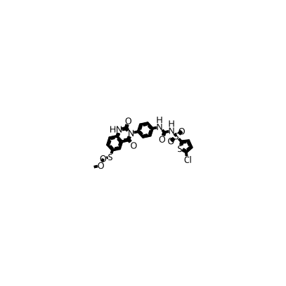 COOSc1ccc2[nH]c(=O)n(-c3ccc(NC(=O)NS(=O)(=O)c4ccc(Cl)s4)cc3)c(=O)c2c1